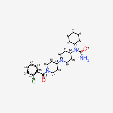 NC(=O)N(C1CCCCC1)C1CCN(C2CCN(C(=O)c3ccccc3Cl)CC2)CC1